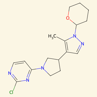 Cc1c(C2CCN(c3ccnc(Cl)n3)C2)cnn1C1CCCCO1